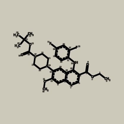 CCOC(=O)c1cnc2cc(OC)c(N3CCN(C(=O)OC(C)(C)C)CC3)cc2c1Nc1ccc(F)cc1F